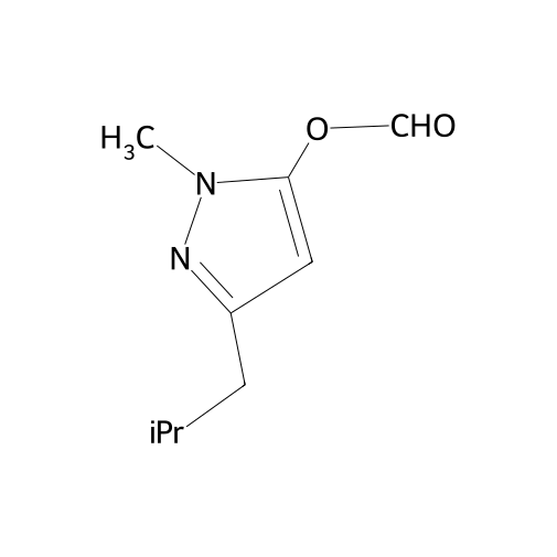 CC(C)Cc1cc(OC=O)n(C)n1